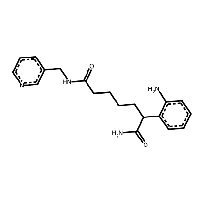 NC(=O)C(CCCCC(=O)NCc1cccnc1)c1ccccc1N